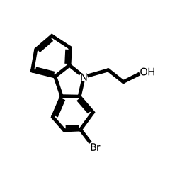 OCCn1c2ccccc2c2ccc(Br)cc21